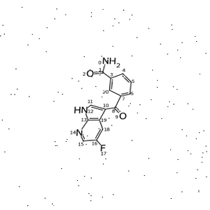 NC(=O)c1cccc(C(=O)c2c[nH]c3ncc(F)cc23)c1